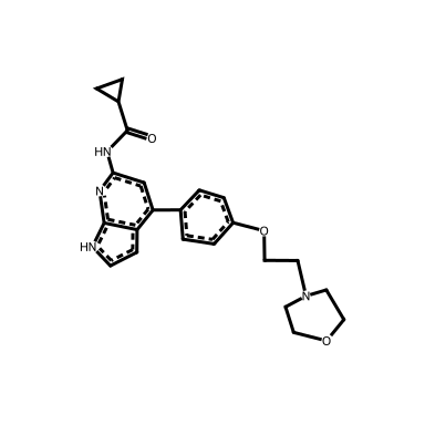 O=C(Nc1cc(-c2ccc(OCCN3CCOCC3)cc2)c2cc[nH]c2n1)C1CC1